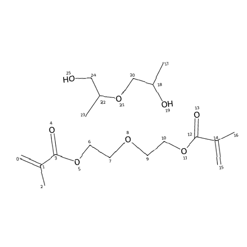 C=C(C)C(=O)OCCOCCOC(=O)C(=C)C.CC(O)COC(C)CO